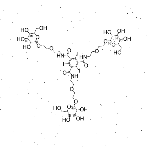 O=C(NCCOCCO[C@@H]1OC(CO)[C@H](O)[C@H](O)C1O)c1c(I)c(C(=O)NCCOCCO[C@@H]2OC(CO)[C@H](O)[C@H](O)C2O)c(I)c(C(=O)NCCOCCO[C@@H]2OC(CO)[C@H](O)[C@H](O)C2O)c1I